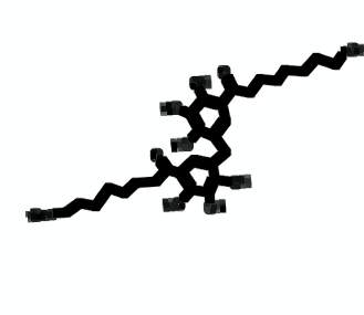 CCCCCCCCCCCCCCCCCC(=O)c1cc(Cc2cc(C(=O)CCCCCCCCCCCCCCCCC)c(O)c(O)c2O)c(O)c(O)c1O